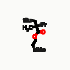 CNCCOC(=O)C(C)(CC(C)(C)C)C(C)C